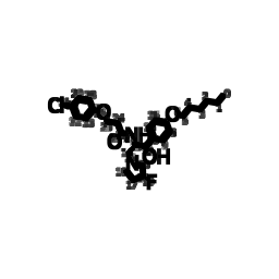 CCCCCCOc1ccc([C@@H](O)[C@@H](CN2CC[C@@H](F)C2)NC(=O)CCOc2ccc(Cl)cc2)cc1